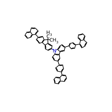 CC1(C)c2cc(-c3cccc4ccccc34)ccc2-c2ccc(-n3c4ccc(-c5ccc(-c6cccc7ccccc67)cc5)cc4c4cc(-c5ccc(-c6cccc7ccccc67)cc5)ccc43)cc21